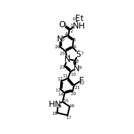 CCNC(=O)c1cc2sc3nc(-c4ccc(C5CCCN5)cc4F)cn3c2cn1